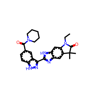 CCN1C(=O)C(C)(C)c2cc3nc(-c4n[nH]c5ccc(C(=O)N6CCCCC6)cc45)[nH]c3cc21